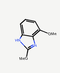 COc1nc2c(OC)cccc2[nH]1